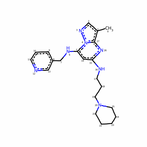 Cc1cnn2c(NCc3cccnc3)cc(NCCCN3CCCCC3)nc12